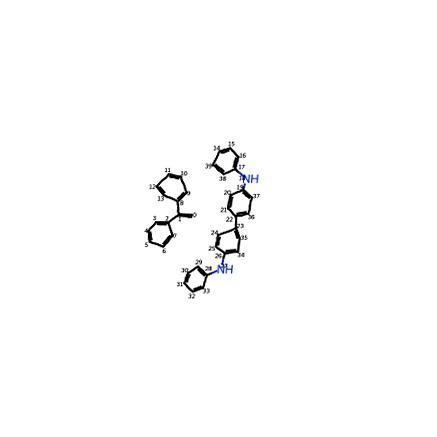 C=C(c1ccccc1)c1ccccc1.c1ccc(Nc2ccc(-c3ccc(Nc4ccccc4)cc3)cc2)cc1